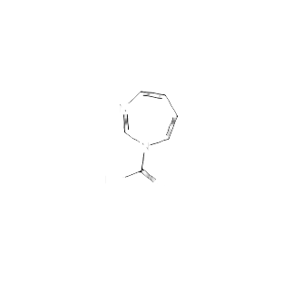 O=C(O)N1C=CC=CN=C1